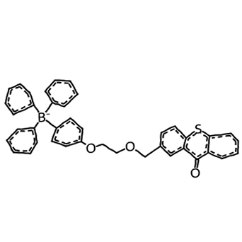 O=c1c2ccccc2sc2ccc(COCCOc3ccc([B-](c4ccccc4)(c4ccccc4)c4ccccc4)cc3)cc12